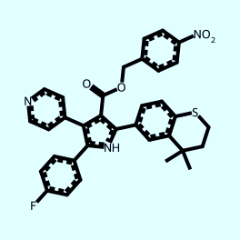 CC1(C)CCSc2ccc(-c3[nH]c(-c4ccc(F)cc4)c(-c4ccncc4)c3C(=O)OCc3ccc([N+](=O)[O-])cc3)cc21